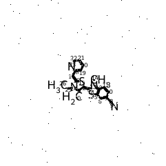 C=C1/C(=C2\Sc3cc(C#N)ccc3N2C)S/C(=C\c2ccccn2)N1CC